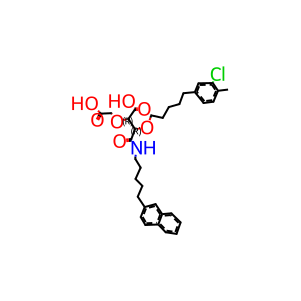 Cc1ccc(CCCCCO[C@@H](C(=O)NCCCCCc2ccc3ccccc3c2)[C@@H](OCC(=O)O)C(=O)O)cc1Cl